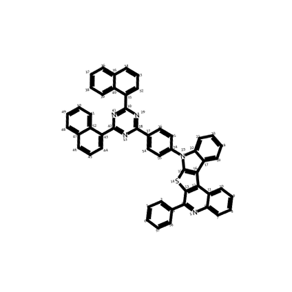 c1ccc(-c2nc3ccccc3c3c2sc2c3c3ccccc3n2-c2ccc(-c3nc(-c4cccc5ccccc45)nc(-c4cccc5ccccc45)n3)cc2)cc1